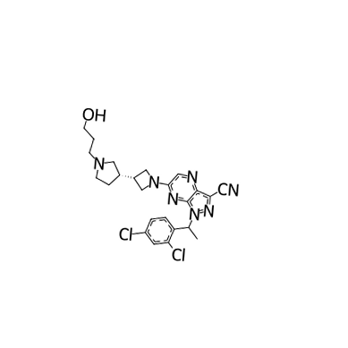 CC(c1ccc(Cl)cc1Cl)n1nc(C#N)c2ncc(N3CC([C@@H]4CCN(CCCO)C4)C3)nc21